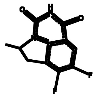 CC1Cc2c(F)c(F)cc3c(=O)[nH]c(=O)n1c23